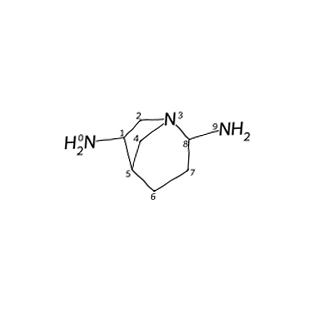 NC1CN2CC1CCC2N